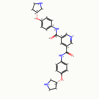 O=C(Nc1ccc(O[C@@H]2CCNC2)cc1)c1cncc(C(=O)Nc2ccc(O[C@@H]3CCNC3)cc2)c1